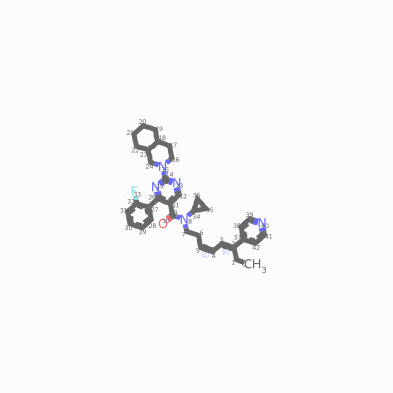 CC/C(=C\C=C/CCN(C(=O)c1cnc(N2CCC3CCCCC3C2)nc1-c1ccccc1F)C1CC1)c1ccncc1